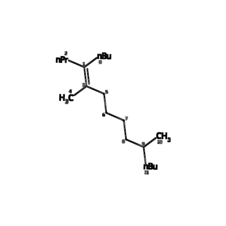 CCCCC(CCC)=C(C)CCCCC(C)CCCC